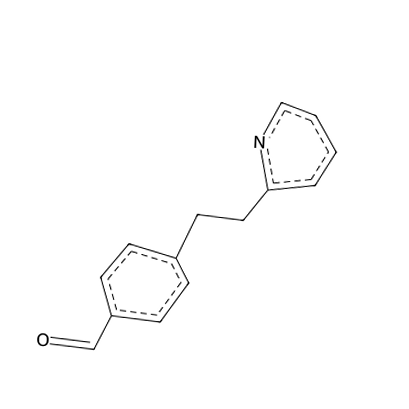 O=Cc1ccc(CCc2ccccn2)cc1